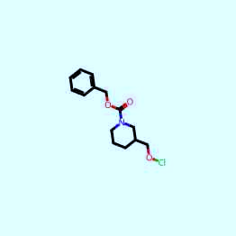 O=C(OCc1ccccc1)N1CCCC(COCl)C1